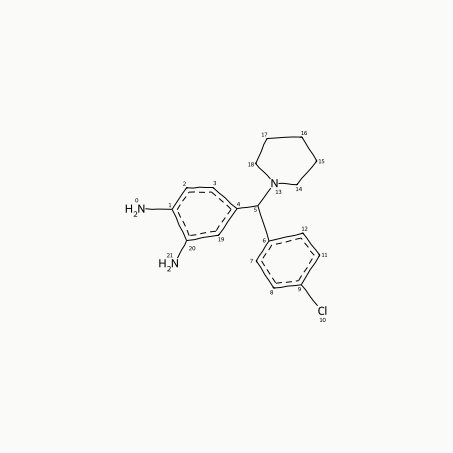 Nc1ccc(C(c2ccc(Cl)cc2)N2CCCCC2)cc1N